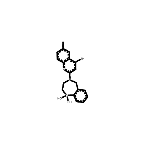 Cc1ccc2nc(N3CCS(O)(O)c4ccccc4C3)cc(S)c2c1